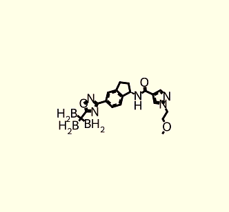 BC(B)(B)c1nc(-c2ccc3c(c2)CC[C@H]3NC(=O)c2cnn(CCOC)c2)no1